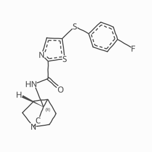 O=C(N[C@H]1CN2CCC1CC2)c1ncc(Sc2ccc(F)cc2)s1